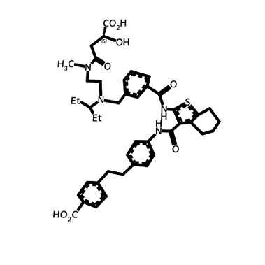 CCC(CC)N(CCN(C)C(=O)C[C@H](O)C(=O)O)Cc1cccc(C(=O)Nc2sc3c(c2C(=O)Nc2ccc(CCc4ccc(C(=O)O)cc4)cc2)CCCC3)c1